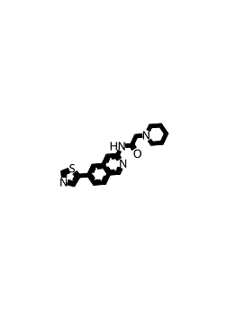 O=C(CN1CCCCC1)Nc1cc2cc(-c3cncs3)ccc2cn1